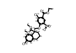 CCOC(=O)c1cc([N+](=O)[O-])c(OC[C@@]2(C(OC)OC)CCCc3cc(Cl)ccc32)cc1Cl